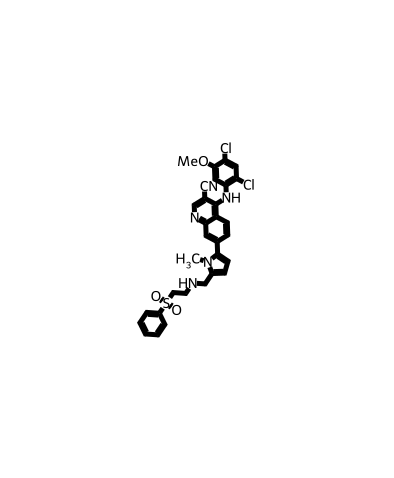 COc1cc(Nc2c(C#N)cnc3cc(-c4ccc(CNCCS(=O)(=O)c5ccccc5)n4C)ccc23)c(Cl)cc1Cl